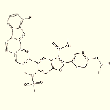 CNC(=O)c1c(-c2ccc(OC(F)F)nc2)oc2cc(N(C)S(C)(=O)=O)c(-c3ccc4ncn5c6cccc(F)c6cc5c4n3)cc12